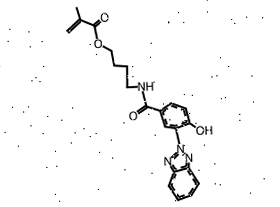 C=C(C)C(=O)OCCCCNC(=O)c1ccc(O)c(-n2nc3ccccc3n2)c1